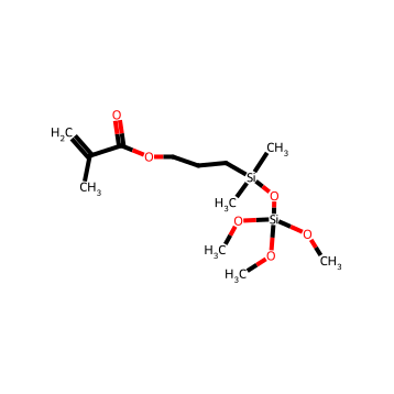 C=C(C)C(=O)OCCC[Si](C)(C)O[Si](OC)(OC)OC